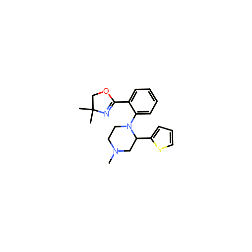 CN1CCN(c2ccccc2C2=NC(C)(C)CO2)C(c2cccs2)C1